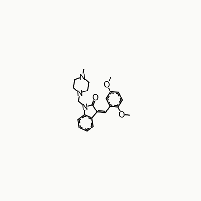 COc1ccc(OC)c(C=C2C(=O)N(CN3CCN(C)CC3)c3ccccc32)c1